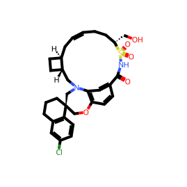 O=C1NS(=O)(=O)[C@@H](CO)CC/C=C\C[C@@H]2CC[C@H]2CN2C[C@@]3(CCCc4cc(Cl)ccc43)COc3ccc1cc32